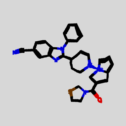 N#Cc1ccc2c(c1)nc(C1CCN([N@@+]34C=CC=C3C=C(C(=O)N3CCSC3)C4)CC1)n2-c1ccccc1